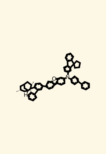 C[C@@H]1CC2C[C@@H](C1)[C@@]1(c3ccccc3-c3cc(-c4ccc5c(c4)oc4cc(N(c6ccc(-c7ccccc7)cc6)c6ccc7c(c6)C6(CCCC6)c6ccccc6-7)ccc45)ccc31)[C@@H](C)C2